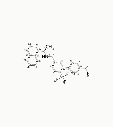 C[C@@H](NCc1ccc(C(F)(F)F)c(-c2ccc(CF)cc2)c1)c1cccc2ccccc12